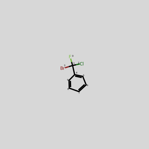 FC(Cl)(Br)c1ccccc1